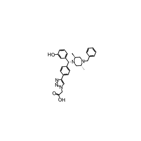 C[C@@H]1CN([C@H](c2ccc(-c3cn(CC(=O)O)nn3)cc2)c2cccc(O)c2)[C@@H](C)CN1Cc1ccccc1